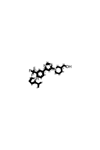 CC(C)C1=CC=C[SH]1c1ccc(-c2cc(N3CCCC(CO)C3)ncn2)cc1C(F)(F)F